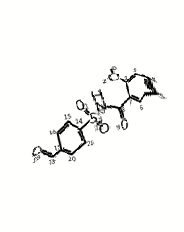 COc1ccccc1C(=O)NS(=O)(=O)c1ccc([C]=O)cc1